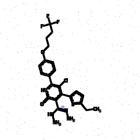 CCc1ccc(-c2c(Cl)c(-c3ccc(OCCCC(F)(F)F)cc3)[nH]c(=O)c2/C(=N/N)NN)s1